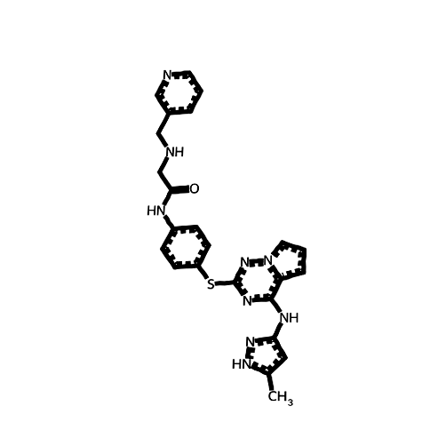 Cc1cc(Nc2nc(Sc3ccc(NC(=O)CNCc4cccnc4)cc3)nn3cccc23)n[nH]1